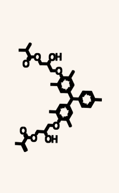 C=C(C)C(=O)OCC(O)COc1c(C)cc(C(c2ccc(C)cc2)c2cc(C)c(OCC(O)COC(=O)C(C)C)c(C)c2)cc1C